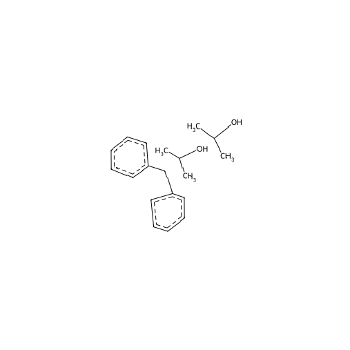 CC(C)O.CC(C)O.c1ccc(Cc2ccccc2)cc1